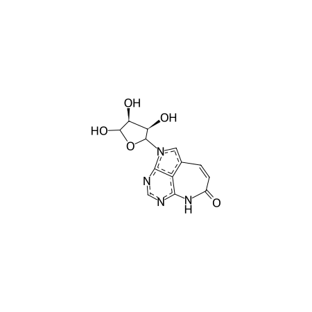 O=C1C=Cc2cn(C3OC(O)[C@@H](O)[C@H]3O)c3ncnc(c23)N1